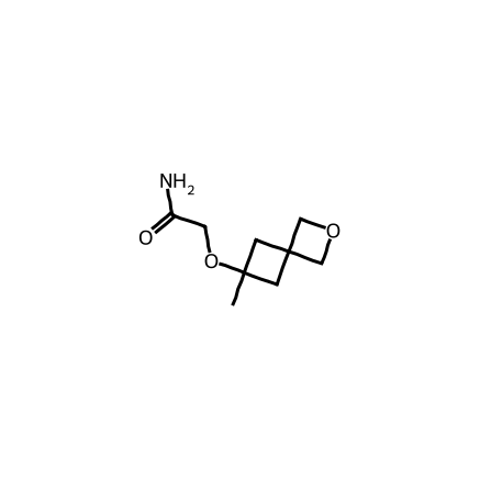 CC1(OCC(N)=O)CC2(COC2)C1